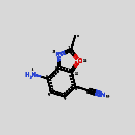 Cc1nc2c(N)ccc(C#N)c2o1